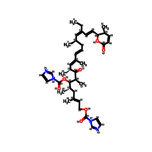 CCC(=C/[C@H](C)C/C=C/C(C)=C/[C@@H](C)C(=O)[C@@H](C)[C@H](OC(=O)n1ccnc1)[C@@H](C)C/C(C)=C/COC(=O)n1ccnc1)/C=C/[C@@H]1OC(=O)C=C[C@@H]1C